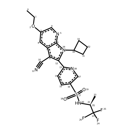 CCOc1cnc2c(c1)c(C#N)c(-c1ccc(S(=O)(=O)N[C@@H](C)C(F)(F)F)cn1)n2C1CCC1